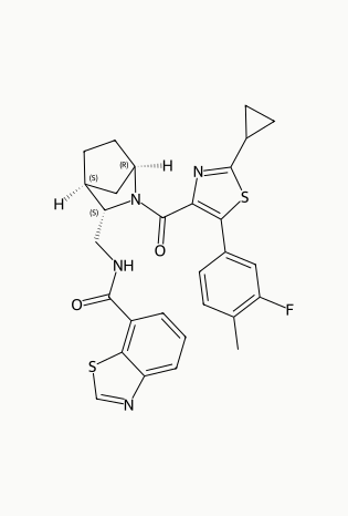 Cc1ccc(-c2sc(C3CC3)nc2C(=O)N2[C@@H]3CC[C@@H](C3)[C@H]2CNC(=O)c2cccc3ncsc23)cc1F